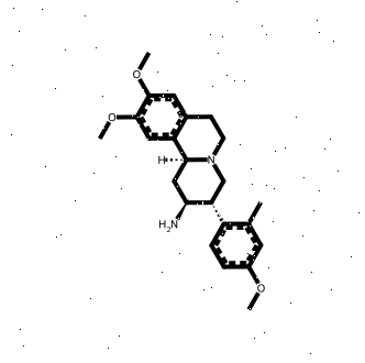 COc1ccc([C@H]2CN3CCc4cc(OC)c(OC)cc4[C@@H]3C[C@@H]2N)c(C)c1